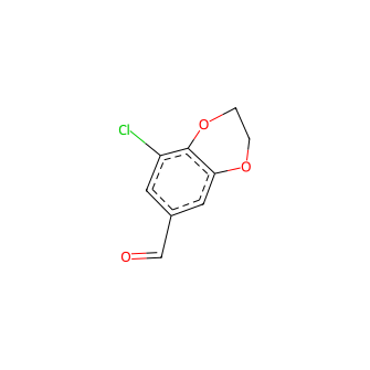 O=Cc1cc(Cl)c2c(c1)OCCO2